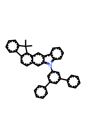 CC1(C)c2ccccc2-c2ccc3cc4c(cc3c21)c1ccccc1n4-c1cc(-c2ccccc2)cc(-c2ccccc2)c1